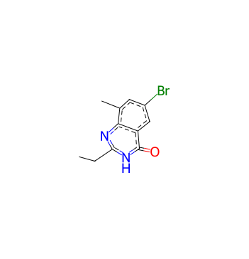 CCc1nc2c(C)cc(Br)cc2c(=O)[nH]1